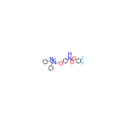 Cc1nc(-c2ccccc2)c(-c2ccccc2)n1CCOc1ccc(NC(=O)Oc2ccc(F)c(F)c2)cc1